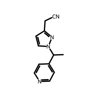 CC(c1ccncc1)n1ccc(CC#N)n1